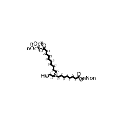 CCCCCCCCCOC(=O)CCCCCCCN(CCO)CCCCCCCCCC(OCCCCCCCC)OCCCCCCCC